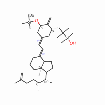 C=C(C)CC[C@@H](C)[C@@H](C)C1CCC2/C(=C/C=C3\C[C@@H](CC(C)(C)[Si](C)(C)O)C(=C)[C@H](O[Si](C)(C)C(C)(C)C)C3)CCC[C@@]21C